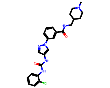 CN1CCC(CNC(=O)c2cccc(-n3cc(NC(=O)Nc4ccccc4Cl)cn3)c2)CC1